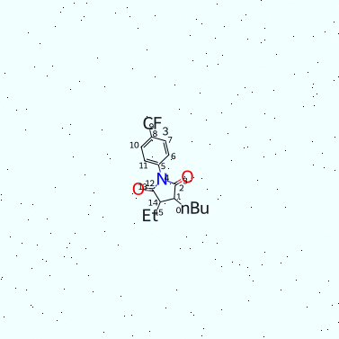 CCCCC1C(=O)N(c2ccc(C(F)(F)F)cc2)C(=O)C1CC